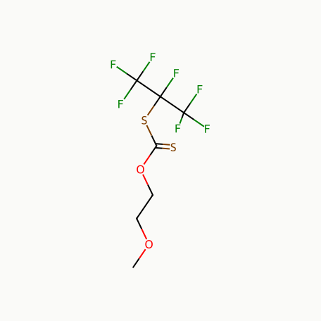 COCCOC(=S)SC(F)(C(F)(F)F)C(F)(F)F